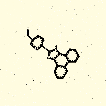 O=Cc1ccc(-c2nc3c4ccccc4c4ccccc4c3[nH]2)cc1